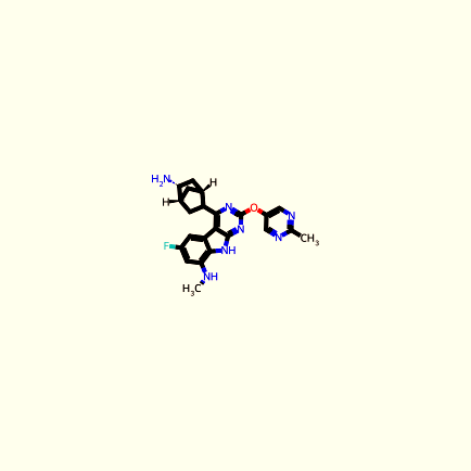 CNc1cc(F)cc2c1[nH]c1nc(Oc3cnc(C)nc3)nc(C3C[C@H]4C[C@@H]3C[C@H]4N)c12